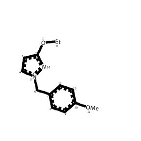 CCOc1ccn(Cc2ccc(OC)cc2)n1